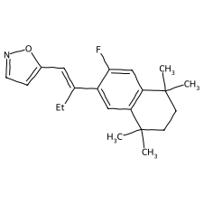 CC/C(=C\c1ccno1)c1cc2c(cc1F)C(C)(C)CCC2(C)C